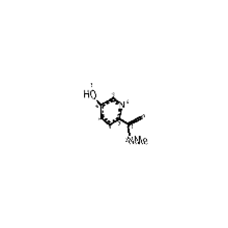 C=C(NC)c1ccc(O)cn1